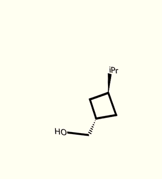 CC(C)[C@H]1C[C@H](CO)C1